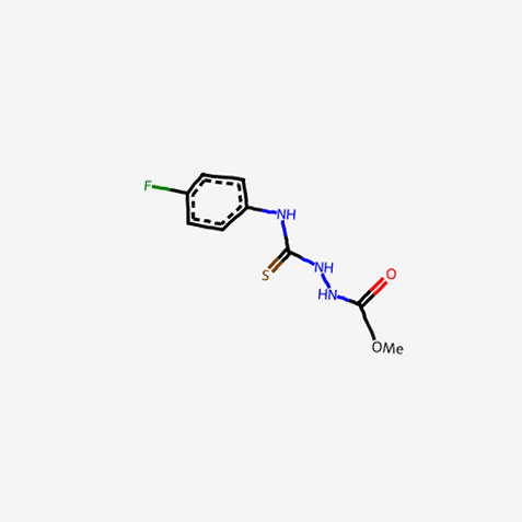 COC(=O)NNC(=S)Nc1ccc(F)cc1